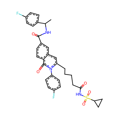 CC(NC(=O)c1ccc2c(=O)n(-c3ccc(F)cc3)c(CCCCC(=O)NS(=O)(=O)C3CC3)cc2c1)c1ccc(F)cc1